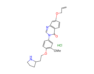 C=CCOc1ccc2c(=O)n(-c3ccc(OCCC4CCCN4)c(OC)c3)cnc2c1.Cl